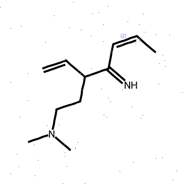 C=CC(CCN(C)C)C(=N)/C=C\C